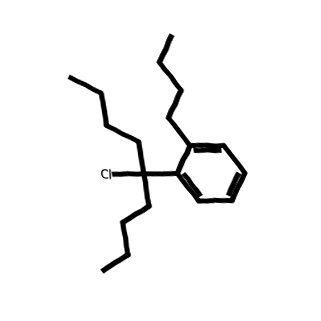 CCCCc1ccccc1C(Cl)(CCCC)CCCC